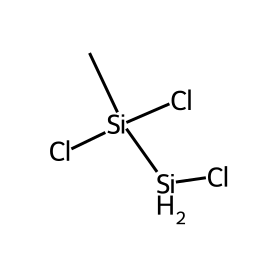 C[Si](Cl)(Cl)[SiH2]Cl